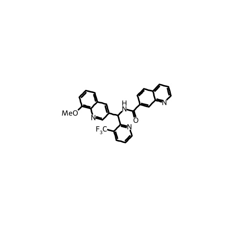 COc1cccc2cc(C(NC(=O)c3ccc4cccnc4c3)c3ncccc3C(F)(F)F)cnc12